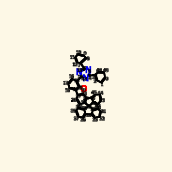 c1ccc(-c2nc(-c3ccccc3)nc(-c3cccc4c3oc3c5c(ccc34)C3(c4ccccc4-c4ccccc43)c3ccccc3-5)n2)cc1